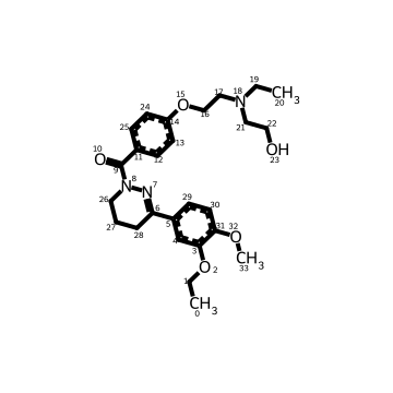 CCOc1cc(C2=NN(C(=O)c3ccc(OCCN(CC)CCO)cc3)CCC2)ccc1OC